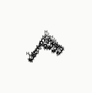 CCC1SC(N)=NC1Cc1ccncc1.NC1=NC(CSc2ccncc2)CS1.NC1=NC(Cc2c[nH]nn2)CS1.NC1=NC(Cc2cnccn2)CS1.NC1=NC(Cc2cncs2)CS1.NC1=NC(Cc2cscn2)CS1.NC1=NC(Cc2ncc[nH]2)CS1